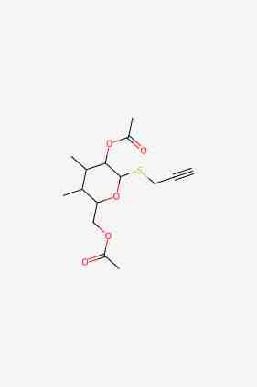 C#CCSC1OC(COC(C)=O)C(C)C(C)C1OC(C)=O